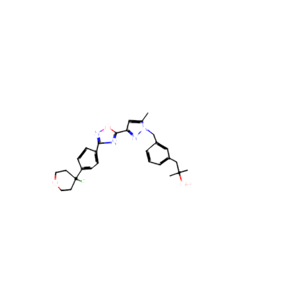 Cc1cc(-c2nc(-c3ccc(C4(F)CCOCC4)cc3)no2)nn1Cc1cccc(CC(C)(C)O)c1